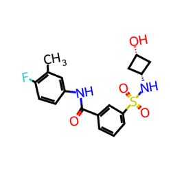 Cc1cc(NC(=O)c2cccc(S(=O)(=O)N[C@H]3C[C@@H](O)C3)c2)ccc1F